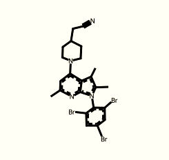 Cc1cc(N2CCC(CC#N)CC2)c2c(C)c(C)n(-c3c(Br)cc(Br)cc3Br)c2n1